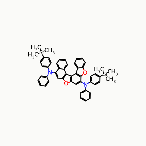 C[Si](C)(C)c1ccc(N(c2ccccc2)c2cc3oc4cc(N(c5ccccc5)c5ccc([Si](C)(C)C)cc5)c5oc6ccccc6c5c4c3c3ccccc23)cc1